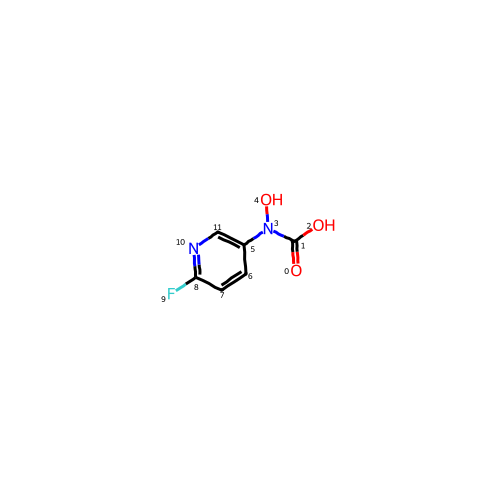 O=C(O)N(O)c1ccc(F)nc1